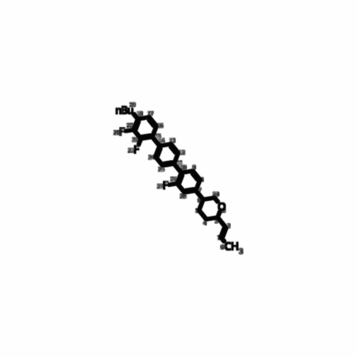 C/C=C/C1CCC(c2ccc(-c3ccc(-c4ccc(CCCC)c(F)c4F)cc3)c(F)c2)CO1